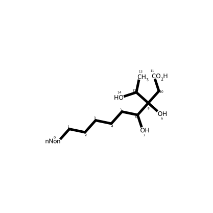 CCCCCCCCCCCCCCC(O)C(O)(CC(=O)O)C(C)O